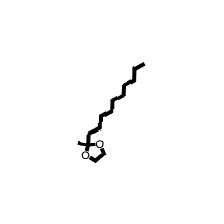 CCCCCCCCCCC1(C)OCCO1